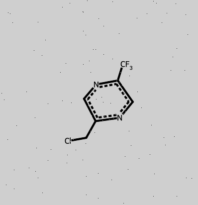 FC(F)(F)c1cnc(CCl)cn1